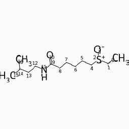 CC[S+]([O-])CCCCCC(=O)NCCC(C)C